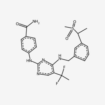 CC(c1cccc(CNc2nc(Nc3ccc(C(N)=O)cc3)ncc2C(C)(F)F)c1)S(C)(=O)=O